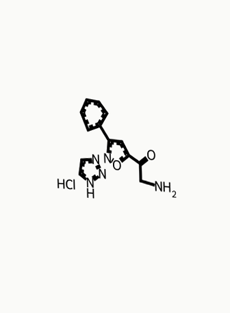 Cl.NCC(=O)c1cc(-c2ccccc2)no1.c1c[nH]nn1